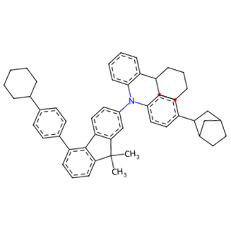 CC1(C)c2cc(N(c3ccc(C4CC5CCC4C5)cc3)c3ccccc3C3CCCCC3)ccc2-c2c(-c3ccc(C4CCCCC4)cc3)cccc21